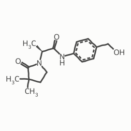 C[C@@H](C(=O)Nc1ccc(CO)cc1)N1CCC(C)(C)C1=O